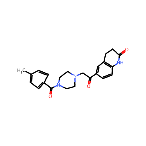 Cc1ccc(C(=O)N2CCN(CC(=O)c3ccc4c(c3)CCC(=O)N4)CC2)cc1